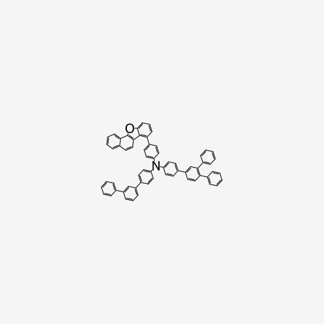 c1ccc(-c2cccc(-c3ccc(N(c4ccc(-c5ccc(-c6ccccc6)c(-c6ccccc6)c5)cc4)c4ccc(-c5cccc6oc7c8ccccc8ccc7c56)cc4)cc3)c2)cc1